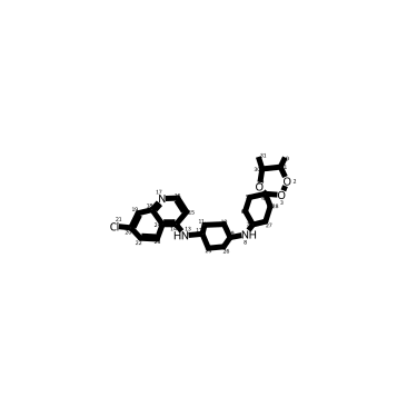 CC1OOC2(CCC(NC3CCC(Nc4ccnc5cc(Cl)ccc45)CC3)CC2)OC1C